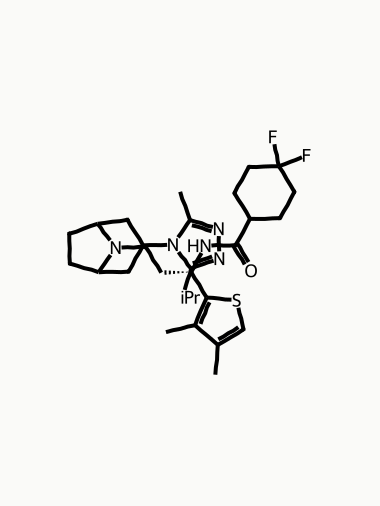 Cc1csc([C@H](CCN2C3CCC2CC(n2c(C)nnc2C(C)C)C3)NC(=O)C2CCC(F)(F)CC2)c1C